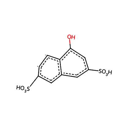 O=S(=O)(O)c1[c][c]c2c(O)cc(S(=O)(=O)O)cc2c1